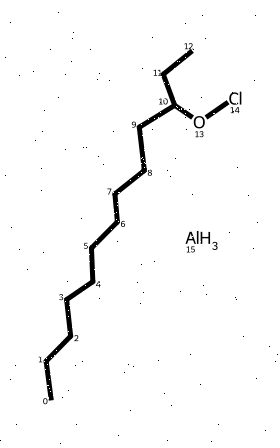 CCCCCCCCCCC(CC)OCl.[AlH3]